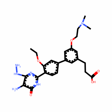 CCOc1cc(-c2cc(CCC(=O)O)cc(OCCN(C)C)c2)ccc1-c1nc(NN)c(N)c(=O)[nH]1